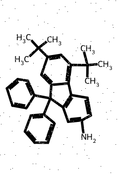 CC(C)(C)c1cc(C(C)(C)C)c2c(c1)C(c1ccccc1)(c1ccccc1)c1cc(N)ccc1-2